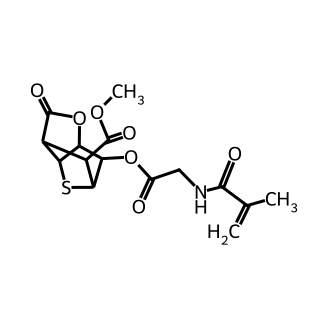 C=C(C)C(=O)NCC(=O)OC1C2OC(=O)C3C2SC1C3C(=O)OC